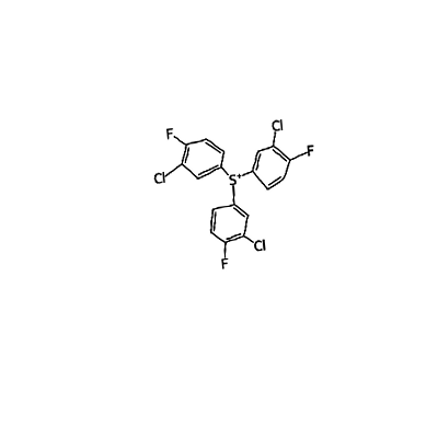 Fc1ccc([S+](c2ccc(F)c(Cl)c2)c2ccc(F)c(Cl)c2)cc1Cl